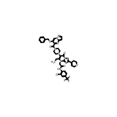 CCc1c(N2CCN(C(=O)c3nc4ccnn4cc3OCc3ccccc3)CC2)c(=O)n2nc(C3=CCOCC3)nc2n1CC(=O)Nc1ccc(C(F)(F)F)cc1Cl